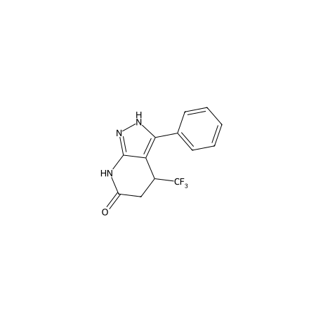 O=C1CC(C(F)(F)F)c2c(n[nH]c2-c2ccccc2)N1